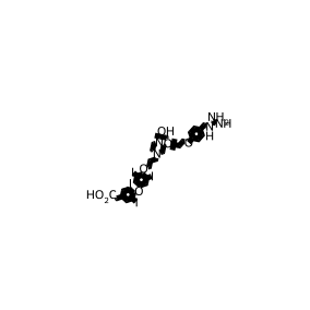 CC(C)(CCOc1ccc(CNC(=N)N)cc1)OCC(C)(O)N1CCN(CCCOc2c(I)cc(Oc3c(I)cc(CC(=O)O)cc3I)cc2I)CC1